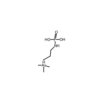 C[AsH](C)(C)CCCNP(=O)(O)O